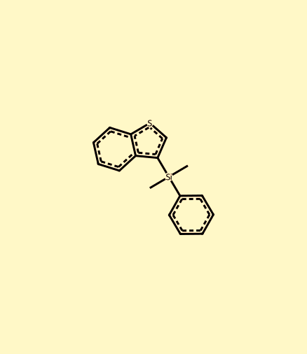 C[Si](C)(c1ccccc1)c1csc2ccccc12